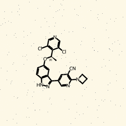 C[C@@H](Oc1ccc2[nH]nc(-c3cnc(N4CCC4)c(C#N)c3)c2c1)c1c(Cl)cncc1Cl